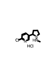 CNN1CCCC1c1ccc(Cl)nc1.Cl